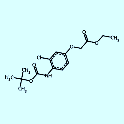 CCOC(=O)COc1ccc(NC(=O)OC(C)(C)C)c(Cl)c1